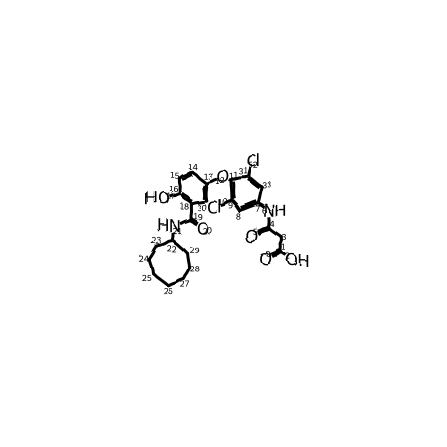 O=C(O)CC(=O)Nc1cc(Cl)c(Oc2ccc(O)c(C(=O)NC3CCCCCCC3)c2)c(Cl)c1